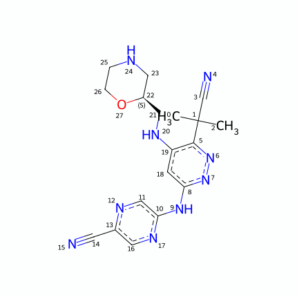 CC(C)(C#N)c1nnc(Nc2cnc(C#N)cn2)cc1NC[C@@H]1CNCCO1